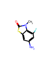 Cn1c(=O)sc2cc(N)cc(F)c21